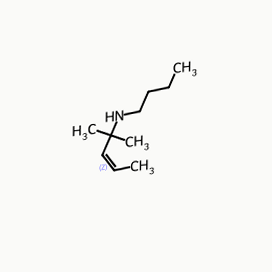 C/C=C\C(C)(C)NCCCC